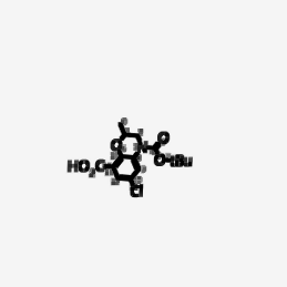 CC1CN(C(=O)OC(C)(C)C)c2cc(Cl)cc(C(=O)O)c2O1